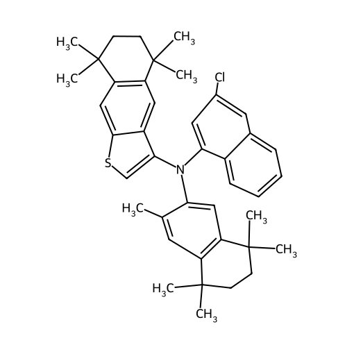 Cc1cc2c(cc1N(c1cc(Cl)cc3ccccc13)c1csc3cc4c(cc13)C(C)(C)CCC4(C)C)C(C)(C)CCC2(C)C